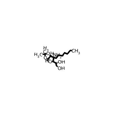 CCCCCCC[C@@]1(N)[C@@H]([C@H](O)CO)O[C@@H]2OC(C)(C)O[C@@H]21